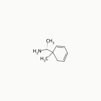 C[C@@H](N)C1(C)C=CC=CC1